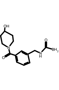 BC(=O)NCc1cccc(C(=O)N2CCC(O)CC2)c1